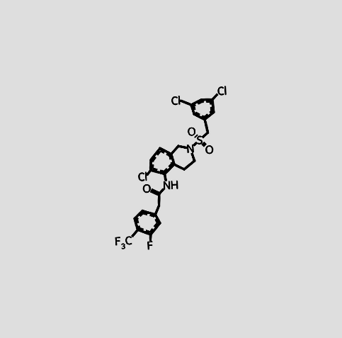 O=C(Cc1ccc(C(F)(F)F)c(F)c1)Nc1c(Cl)ccc2c1CCN(S(=O)(=O)Cc1cc(Cl)cc(Cl)c1)C2